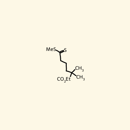 CCOC(=O)C(C)(C)CCCC(=S)SC